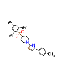 Cc1ccc(-c2csc(N3CCC(S(=O)(=O)c4c(C(C)C)cc(C(C)C)cc4C(C)C)CC3)n2)cc1